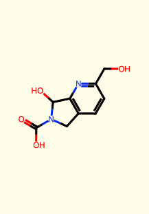 O=C(O)N1Cc2ccc(CO)nc2C1O